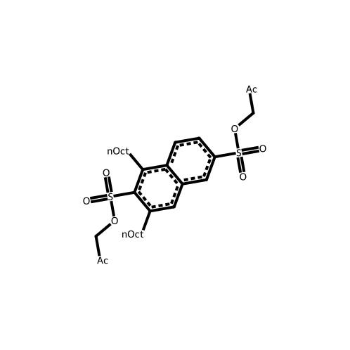 CCCCCCCCc1cc2cc(S(=O)(=O)OCC(C)=O)ccc2c(CCCCCCCC)c1S(=O)(=O)OCC(C)=O